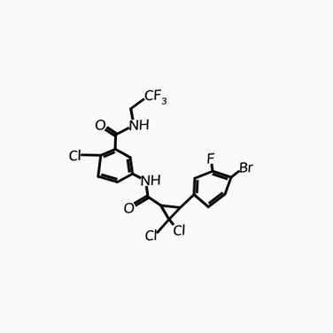 O=C(NCC(F)(F)F)c1cc(NC(=O)C2C(c3ccc(Br)c(F)c3)C2(Cl)Cl)ccc1Cl